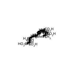 CSC[C@@H](C)NC(=O)[C@H](CC(=O)O)NC(=O)[C@H](CC(=O)O)NC(=O)Cc1ccc(CNC(=O)NCCCC[C@@H](C)NC(=O)N[C@@H](CCC(=O)O)C(=O)O)cc1